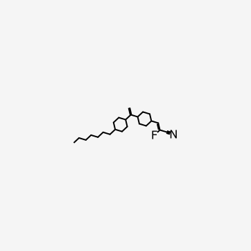 C=C(C1CCC(C=C(F)C#N)CC1)C1CCC(CCCCCCC)CC1